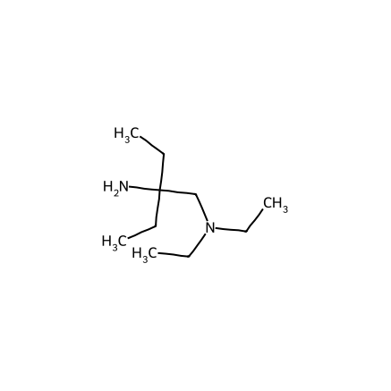 CCN(CC)CC(N)(CC)CC